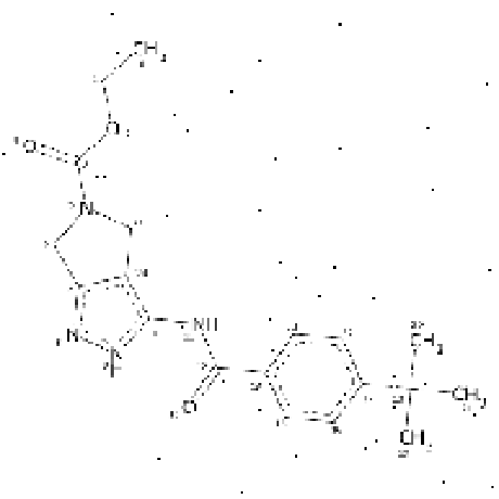 CCOC(=O)N1Cc2n[nH]c(NC(=O)c3ccc(C(C)(C)C)cc3)c2C1